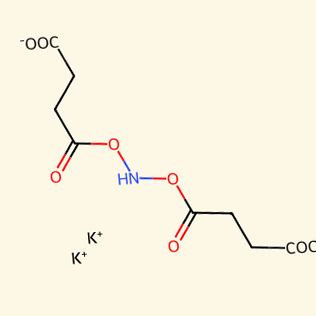 O=C([O-])CCC(=O)ONOC(=O)CCC(=O)[O-].[K+].[K+]